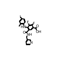 Cc1cc(I)ccc1Nc1c(C(=O)NCc2cccnc2)cc(C(=O)O)c(F)c1F